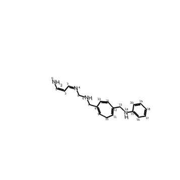 N/C=C\C=N/CNCC1=CCC=C(CNc2ccccc2)C=C1